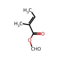 C/C=C(\C)C(=O)OC=O